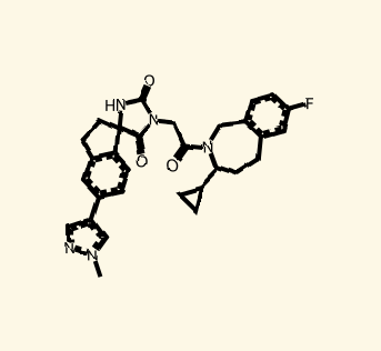 Cn1cc(-c2ccc3c(c2)CCC32NC(=O)N(CC(=O)N3Cc4ccc(F)cc4CCC3C3CC3)C2=O)cn1